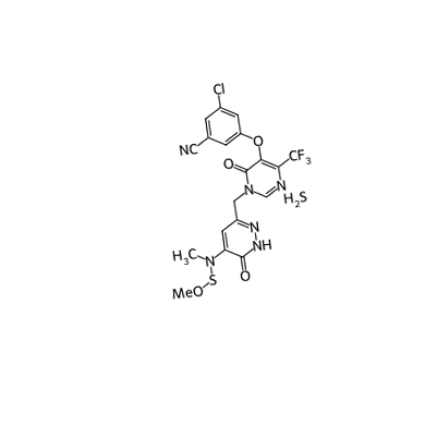 COSN(C)c1cc(Cn2cnc(C(F)(F)F)c(Oc3cc(Cl)cc(C#N)c3)c2=O)n[nH]c1=O.S